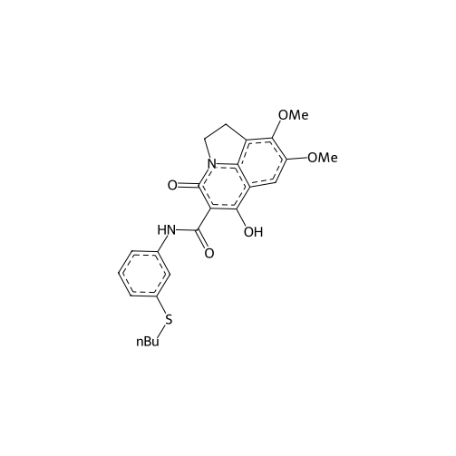 CCCCSc1cccc(NC(=O)c2c(O)c3cc(OC)c(OC)c4c3n(c2=O)CC4)c1